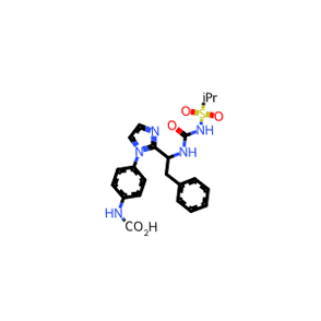 CC(C)S(=O)(=O)NC(=O)NC(Cc1ccccc1)c1nccn1-c1ccc(NC(=O)O)cc1